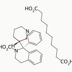 O=C(O)CCCCCCCCC(=O)O.O=C(O)N1CCc2ccccc2[C@]1(c1ccccc1)[C@H]1CN2CCC1CC2